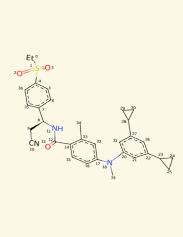 CCS(=O)(=O)c1ccc([C@H](CC#N)NC(=O)c2ccc(N(C)c3cc(C4CC4)cc(C4CC4)c3)cc2C)cc1